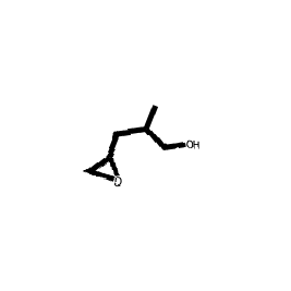 CC(CO)CC1CO1